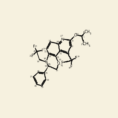 CC(C)Oc1cc(C(F)(F)F)c2c3c(ccc2n1)N(CC(F)(F)F)[C@H](c1ccccc1)CO3